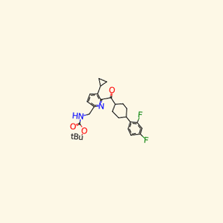 CC(C)(C)OC(=O)NCc1ccc(C2CC2)c(C(=O)C2CCC(c3ccc(F)cc3F)CC2)n1